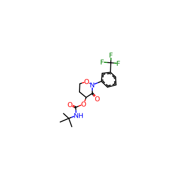 CC(C)(C)NC(=O)OC1CCON(c2cccc(C(F)(F)F)c2)C1=O